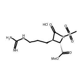 COC(=O)[C@@H]1[C@@H](CCCNC(=N)N)C(=O)N1S(C)(=O)=O.Cl